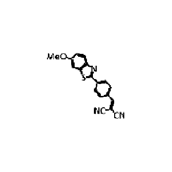 COc1ccc2nc(-c3ccc(C=C(C#N)C#N)cc3)sc2c1